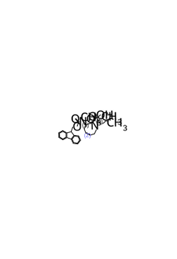 CC(C)C[C@@H](C(=O)O)N1CC/C=C\C[C@H](N(C)C(=O)OCC2c3ccccc3-c3ccccc32)C1=O